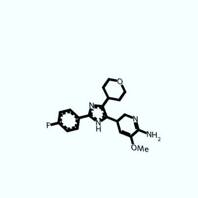 COC1=CC(c2[nH]c(-c3ccc(F)cc3)nc2C2CCOCC2)CN=C1N